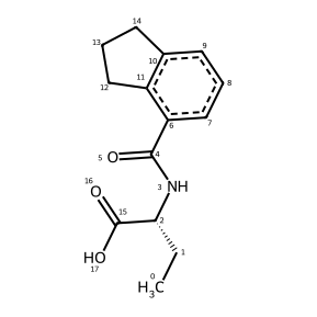 CC[C@@H](NC(=O)c1cccc2c1CCC2)C(=O)O